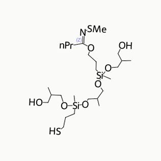 CCC/C(=N/SC)OCCC[Si](C)(OCC(C)CO)OCC(C)CO[Si](C)(CCCS)OCC(C)CO